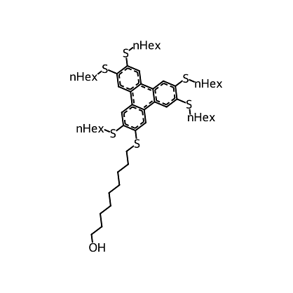 CCCCCCSc1cc2c3cc(SCCCCCC)c(SCCCCCC)cc3c3cc(SCCCCCCCCCO)c(SCCCCCC)cc3c2cc1SCCCCCC